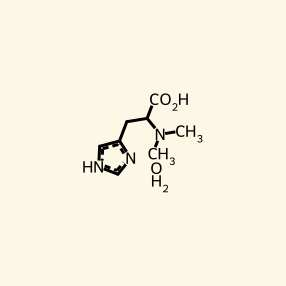 CN(C)C(Cc1c[nH]cn1)C(=O)O.O